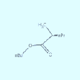 CCCCOC(=O)[C@@H](C)CCC